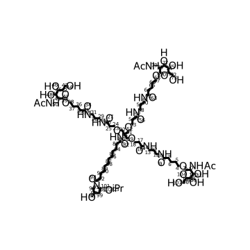 CC(=O)NC1C(OCCCCC(=O)NCCCNC(=O)CCOCC(COCCC(=O)NCCCNC(=O)CCCCOC2OC(CO)C(O)C(O)C2NC(C)=O)(COCCC(=O)NCCCNC(=O)CCCCOC2OC(CO)C(O)C(O)C2NC(C)=O)NC(=O)CCCCCCCCCCC(=O)N2C[C@H](O)C[C@H]2COC(C)C)OC(CO)C(O)C1O